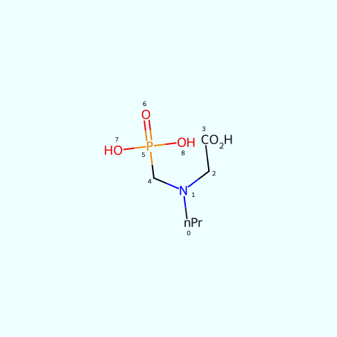 CCCN(CC(=O)O)CP(=O)(O)O